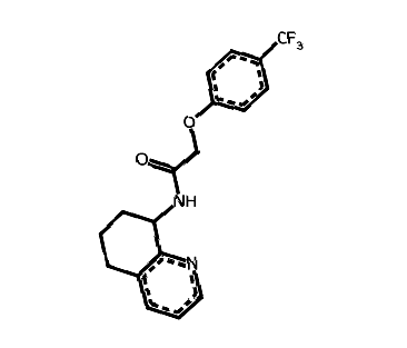 O=C(COc1ccc(C(F)(F)F)cc1)NC1CCCc2cccnc21